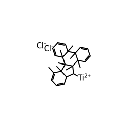 CC1=CC=CC2[CH]([Ti+2])C3(C)C4(C)C=CC=CC4(C)C4(C)C=CC=CC4(C)C3(C)C12C.[Cl-].[Cl-]